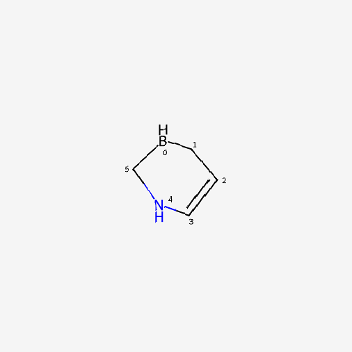 B1CC=CNC1